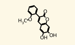 COc1ccccc1-c1cc2cc(O)c(O)cc2oc1=O